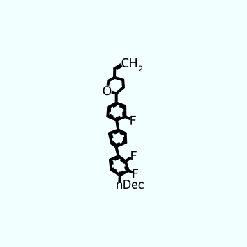 C=CC1CCC(c2ccc(-c3ccc(-c4ccc(CCCCCCCCCC)c(F)c4F)cc3)c(F)c2)OC1